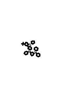 CC(C)(C)c1ccc2c(c1)c1cc(N(c3ccccc3)c3cccc(N(c4ccccc4)c4ccccc4)c3)ccc1n2-c1ccccc1